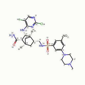 CN1CCN(c2cc([N+](=O)[O-])cc(S(=O)(=O)NC[C@@H]3C[C@@H]4C[C@H]3[C@@H](Nc3nc(Cl)ncc3F)[C@H]4C(N)=O)c2)CC1